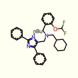 CCCCn1c(-c2ccccc2)nc(-c2ccccc2)c1CN(Cc1ccccc1OC(F)F)CC1CCCCC1